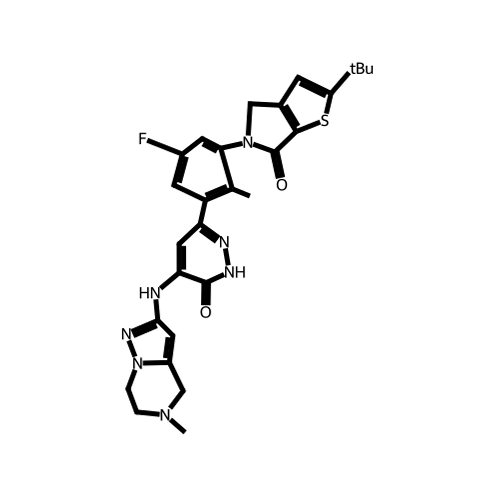 Cc1c(-c2cc(Nc3cc4n(n3)CCN(C)C4)c(=O)[nH]n2)cc(F)cc1N1Cc2cc(C(C)(C)C)sc2C1=O